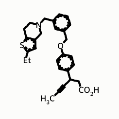 CC#CC(CC(=O)O)c1ccc(OCc2cccc(CN3CCc4sc(CC)cc4C3)c2)cc1